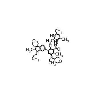 CCCN1c2cc(-c3cc(N(CC)C4CCOCC4)c(C)c(C(=O)NCC4=C(C)C=C(C)NC4C)c3Cl)ccc2C2(CCOCC2)C1C